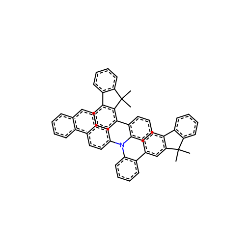 CC1(C)c2ccccc2-c2ccc(-c3ccccc3N(c3ccc4c(ccc5ccccc54)c3)c3ccccc3-c3cccc4c3C(C)(C)c3ccccc3-4)cc21